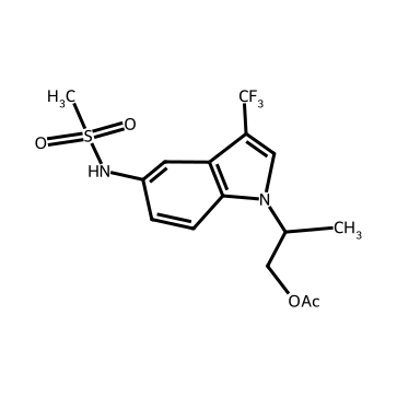 CC(=O)OCC(C)n1cc(C(F)(F)F)c2cc(NS(C)(=O)=O)ccc21